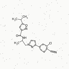 CC(Cn1ccc(-c2ccc(C#N)c(Cl)c2)n1)NC(=O)c1cc(C(C)C)on1